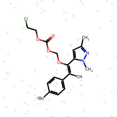 Cc1cc(/C(OCOC(=O)OCCCl)=C(\C#N)c2ccc(C(C)(C)C)cc2)n(C)n1